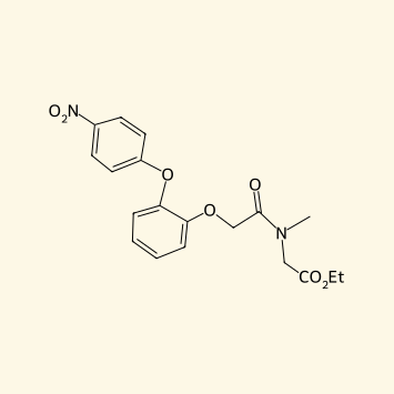 CCOC(=O)CN(C)C(=O)COc1ccccc1Oc1ccc([N+](=O)[O-])cc1